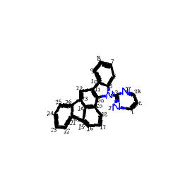 c1cnc(-n2c3ccccc3c3cc4c5c(cccc5c32)-c2ccccc2-4)nc1